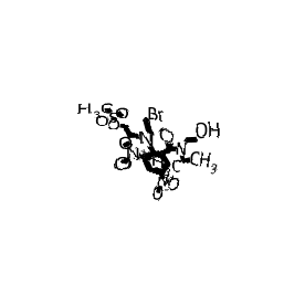 CC(C)N(CCO)C(=O)c1cc([N+](=O)[O-])cc([N+](=O)[O-])c1N(CCBr)CCOS(C)(=O)=O